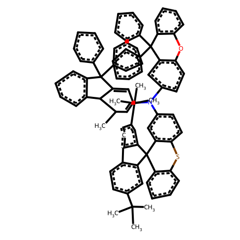 CC1C=C(N(c2ccc3c(c2)C(c2ccccc2)(c2ccccc2)c2ccccc2O3)c2ccc3c(c2)C2(c4ccccc4S3)c3cc(C(C)(C)C)ccc3-c3ccc(C(C)(C)C)cc32)C=C2C1c1ccccc1C2(c1ccccc1)c1ccccc1